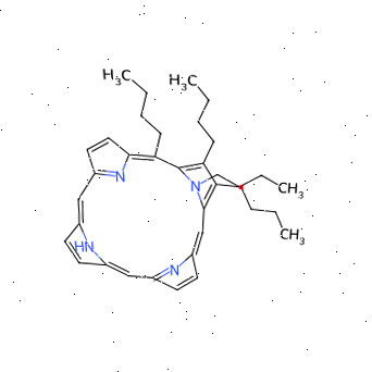 CCCCc1c(CCCC)c2c(CCCC)c3nc(cc4ccc(cc5nc(cc1n2CCCC)C=C5)[nH]4)C=C3